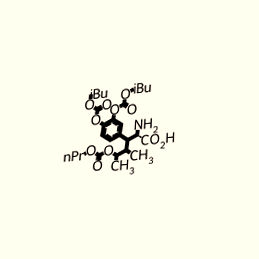 CCCOC(=O)OC(C)C(C)C(c1ccc(OC(=O)OC(C)CC)c(OC(=O)OC(C)CC)c1)[C@H](N)C(=O)O